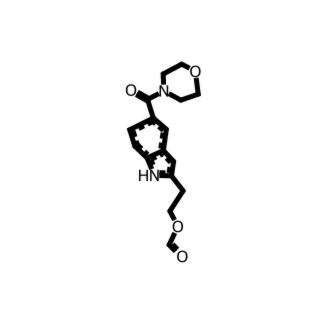 O=COCCc1cc2cc(C(=O)N3CCOCC3)ccc2[nH]1